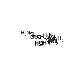 Cl.Cl.N=C(N)N(CCCCc1ccc(OCC(=O)OCCN)cc1)C(=O)c1nc(Cl)c(N)nc1N